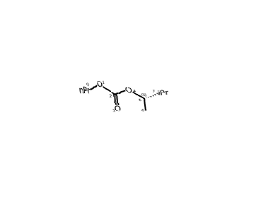 C[CH]COC(=O)O[C@@H](C)C(C)C